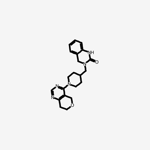 O=C1Nc2ccccc2CN1CC1CCN(c2ncnc3c2COCC3)CC1